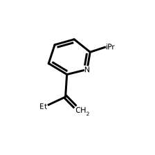 C=C(CC)c1cccc(C(C)C)n1